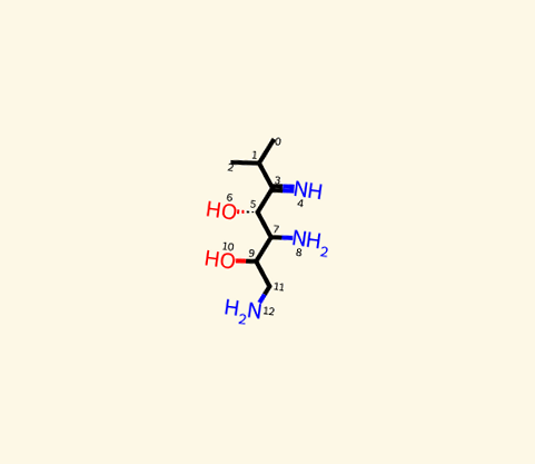 CC(C)C(=N)[C@@H](O)C(N)C(O)CN